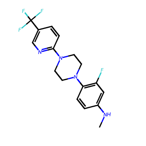 CNc1ccc(N2CCN(c3ccc(C(F)(F)F)cn3)CC2)c(F)c1